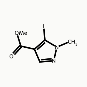 COC(=O)c1cnn(C)c1I